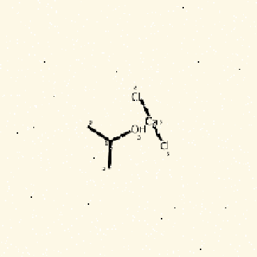 CC(C)O.[Cl][Ca][Cl]